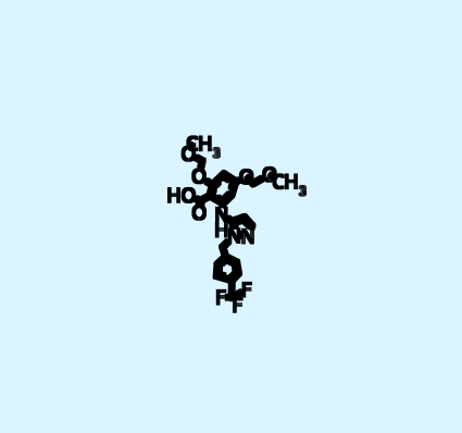 COCOc1cc(Nc2ccnn2Cc2ccc(C(F)(F)F)cc2)c(C(=O)O)c(OCOC)c1